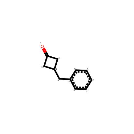 O=C1CC(Cc2ccccc2)C1